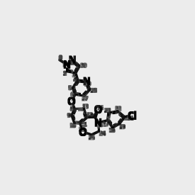 Cn1cc(-c2cc(Oc3ccc4c(c3)C(=O)N(c3ccc(Cl)cc3)CCO4)ccn2)cn1